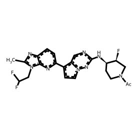 CC(=O)N1CC[C@@H](Nc2ncc3c(-c4ccc5nc(C)n(CC(F)F)c5n4)ccn3n2)[C@@H](F)C1